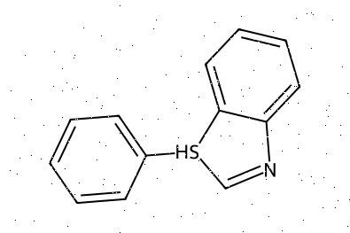 C1=Nc2ccccc2[SH]1c1ccccc1